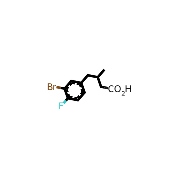 CC(CC(=O)O)Cc1ccc(F)c(Br)c1